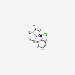 CCC[Si](Cl)(c1ccccc1)N(CC)CC